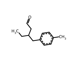 CCC(CC=O)Cc1ccc(C)cc1